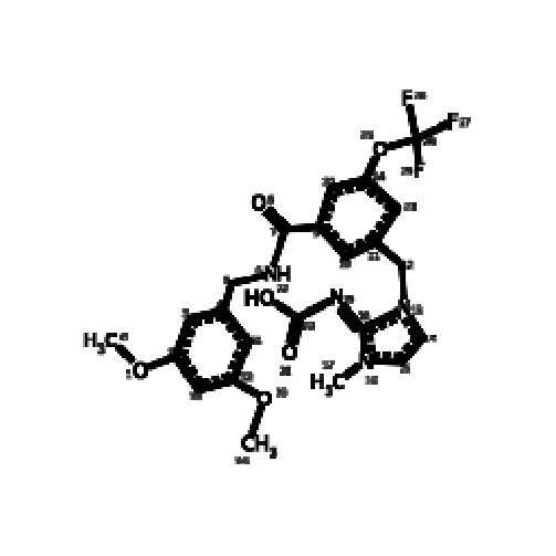 COc1cc(CNC(=O)c2cc(Cn3ccn(C)c3=NC(=O)O)cc(OC(F)(F)F)c2)cc(OC)c1